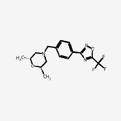 C[C@@H]1CN(Cc2ccc(-c3noc(C(F)(F)F)n3)cc2)C[C@@H](C)O1